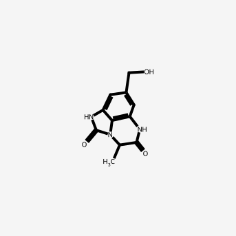 CC1C(=O)Nc2cc(CO)cc3[nH]c(=O)n1c23